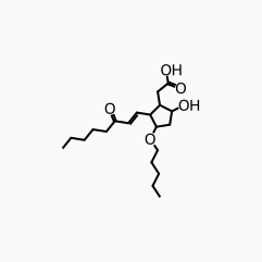 CCCCCOC1CC(O)C(CC(=O)O)C1C=CC(=O)CCCCC